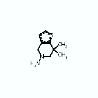 CC1(C)CN(N)Cc2ccsc21